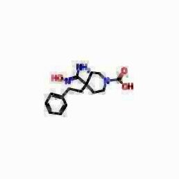 NC(=NO)C1(CCc2ccccc2)CCN(C(=O)O)CC1